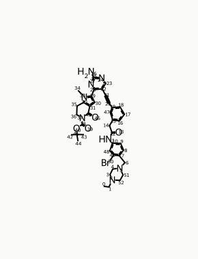 CCN1CCN(Cc2ccc(NC(=O)Cc3cccc(C#Cc4cnc(N)nc4-c4cc5c(n4C)CCN(C(=O)OC(C)(C)C)C5=O)c3)cc2Br)CC1